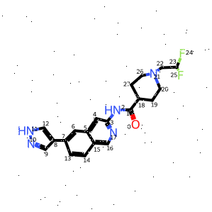 O=C(Nc1cc2cc(-c3cn[nH]c3)ccc2cn1)C1CCN(CC(F)F)CC1